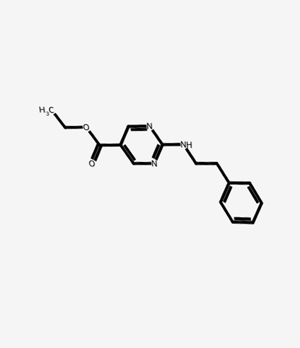 CCOC(=O)c1cnc(NCCc2ccccc2)nc1